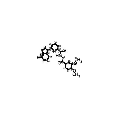 COc1ccc(C(=O)CNC(=O)c2cccc(-c3csc4c(F)cccc34)n2)cc1OC